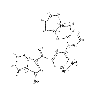 CC(C)n1cc(C(=O)c2cncc(-c3cccc(C(=O)O)c3CN3CCOCC3)c2)c2cncnc21.CC(N)=O